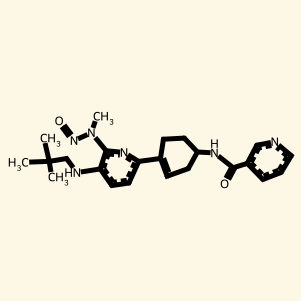 CN(N=O)c1nc(C2=CCC(NC(=O)c3cccnc3)CC2)ccc1NCC(C)(C)C